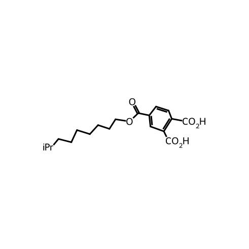 CC(C)CCCCCCCOC(=O)c1ccc(C(=O)O)c(C(=O)O)c1